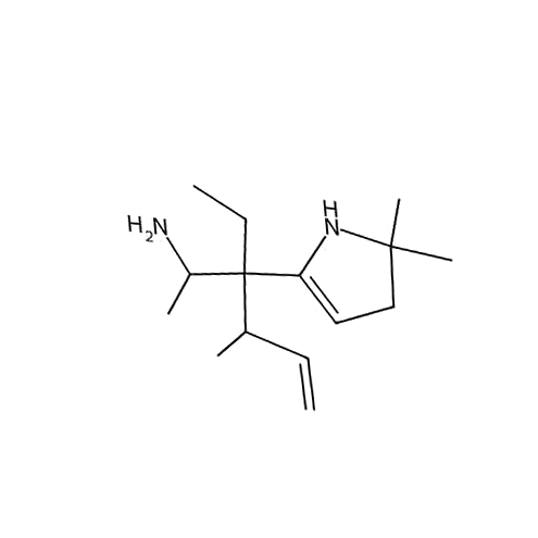 C=CC(C)C(CC)(C1=CCC(C)(C)N1)C(C)N